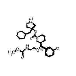 COC(=O)NCCO[C@@H](c1cccc(Cl)c1)C1CCCN(C(=O)OC2(CC3CCCCC3)CCNC2)C1